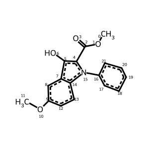 COC(=O)c1c(O)c2cc(OC)ccc2n1-c1ccccc1